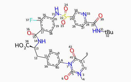 Cc1cn(C)c(=O)n(-c2ccc(C[C@H](NC(=O)c3ccc(NS(=O)(=O)c4ccc(C(=O)NC(C)(C)C)nc4)cc3F)C(=O)O)cc2)c1=O